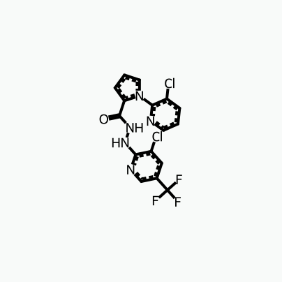 O=C(NNc1ncc(C(F)(F)F)cc1Cl)c1cccn1-c1ncccc1Cl